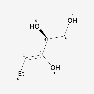 CCC=C(O)[C@@H](O)CO